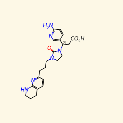 Nc1ccc([C@@H](CC(=O)O)N2CCN(CCCc3ccc4c(n3)NCCC4)C2=O)cn1